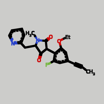 CC#Cc1cc(F)c(C2C(=O)C(Cc3ccccn3)N(C)C2=O)c(OCC)c1